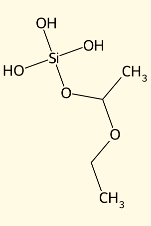 CCOC(C)O[Si](O)(O)O